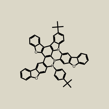 CC(C)(C)c1ccc(N2B3c4cc5oc6ccccc6c5cc4-n4c5ccc(C(C)(C)C)cc5c5c6c(oc7ccccc76)c(c3c54)-c3cc4c(cc32)oc2ccccc24)cc1